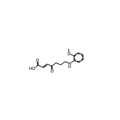 COc1ccccc1NCCCC(=O)C=CC(=O)O